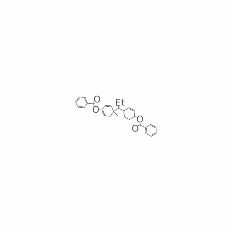 CCC(C1=CCC(OC(=O)c2ccccc2)C=C1)C1(C)C=CC(OC(=O)c2ccccc2)=CC1